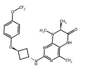 Cc1nc(N[C@H]2C[C@H](Oc3ccc(OC(F)(F)F)cc3)C2)nc2c1NC(=O)[C@H](C)N2C